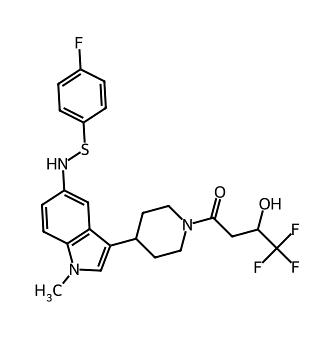 Cn1cc(C2CCN(C(=O)CC(O)C(F)(F)F)CC2)c2cc(NSc3ccc(F)cc3)ccc21